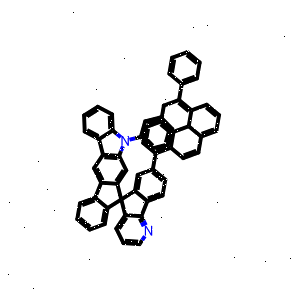 C1=CC2=C(c3ccccc3)Cc3ccc(-c4ccc5c(c4)C4(c6ccccc6-c6cc7c8ccccc8n(-c8ccccc8)c7cc64)c4cccnc4-5)c4c3C2C(=C1)C=C4